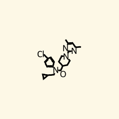 Cc1cc(C)nc(N2CCC(C(=O)N(CC3CC3)c3ccc(Cl)cc3)CC2)n1